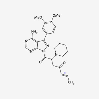 C/C=C/C(=O)CC(C(=O)n1nc(-c2ccc(OC)c(OC)c2)c2c(N)ncnc21)N1CCCCC1